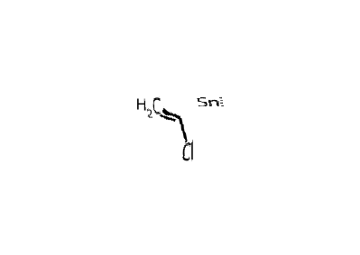 C=CCl.[Sn]